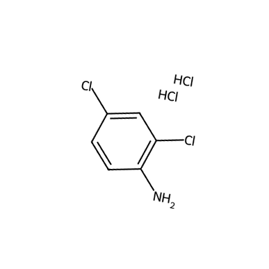 Cl.Cl.Nc1ccc(Cl)cc1Cl